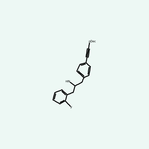 CCCCCCCCCCC#Cc1ccc(CC([NH])Cc2ccccc2F)cc1